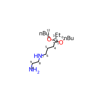 CCCCO[Si](CC)(CCCNCCN)OCCCC